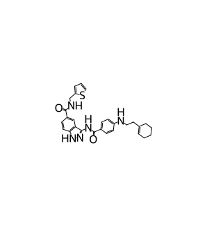 O=C(NCc1cccs1)c1ccc2[nH]nc(NC(=O)c3ccc(NCCC4=CCCCC4)cc3)c2c1